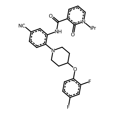 CC(C)n1cccc(C(=O)Nc2cc(C#N)ccc2N2CCC(Oc3ccc(F)cc3F)CC2)c1=O